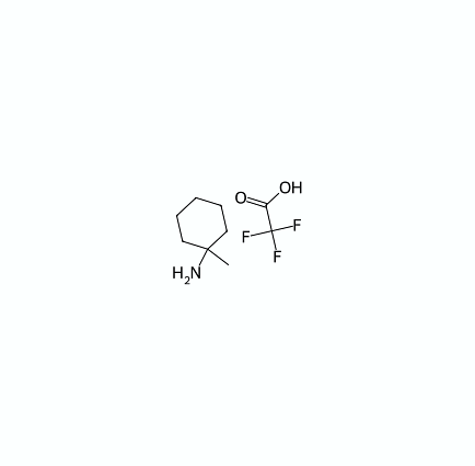 CC1(N)CCCCC1.O=C(O)C(F)(F)F